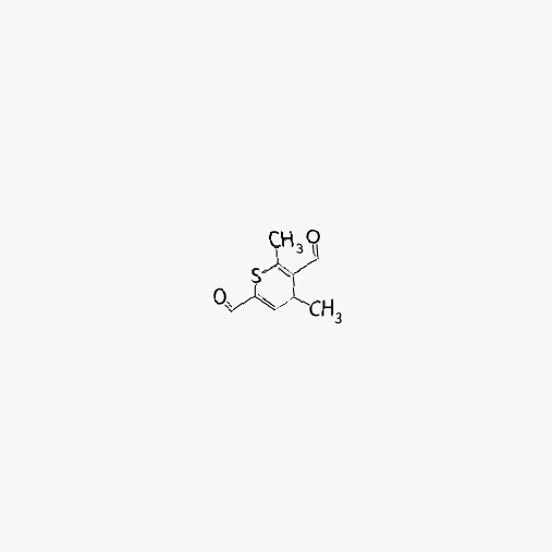 CC1=C(C=O)C(C)C=C(C=O)S1